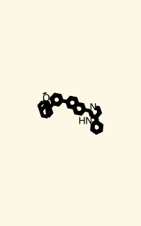 COc1ccc(-c2ccc3cc(-c4nccc5c4[nH]c4ccccc45)ccc3c2)cc1C12CC3CC(CC(C3)C1)C2